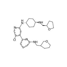 Clc1cnc(N[C@H]2CC[C@H](NC[C@H]3CCCO3)CC2)cc1-c1cccc(NCC2CCCOC2)n1